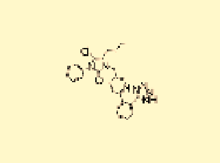 CCCCc1c(Cl)n(-c2ccccc2)c(=O)n1Cc1ccc(-c2ccccc2-c2nnn[nH]2)nc1